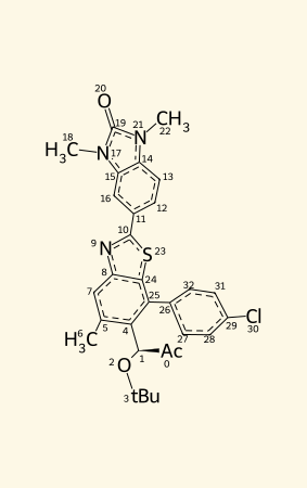 CC(=O)[C@@H](OC(C)(C)C)c1c(C)cc2nc(-c3ccc4c(c3)n(C)c(=O)n4C)sc2c1-c1ccc(Cl)cc1